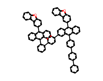 c1ccc(-c2ccc(-c3ccc(-c4c5ccccc5c(-c5ccc6oc7ccccc7c6c5)c5ccc(-c6ccc(-c7ccccc7-c7c8ccccc8c(-c8ccc9oc%10ccccc%10c9c8)c8ccccc78)cc6)cc45)cc3)cc2)cc1